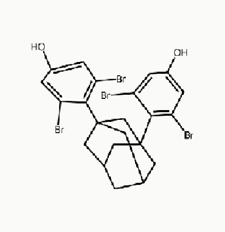 Oc1cc(Br)c(C23CC4CC(C2)CC(c2c(Br)cc(O)cc2Br)(C4)C3)c(Br)c1